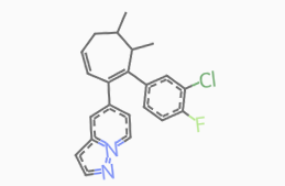 CC1CC=CC(c2ccn3nccc3c2)=C(c2ccc(F)c(Cl)c2)C1C